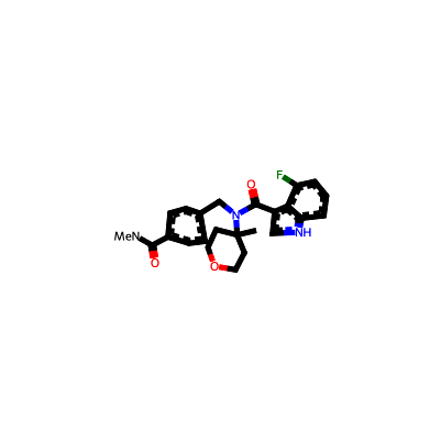 CNC(=O)c1ccc(CN(C(=O)c2c[nH]c3cccc(F)c23)C2(C)CCOCC2)cc1